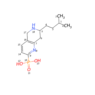 CC(C)CCC1Cc2nc(P(=O)(O)O)ccc2CN1